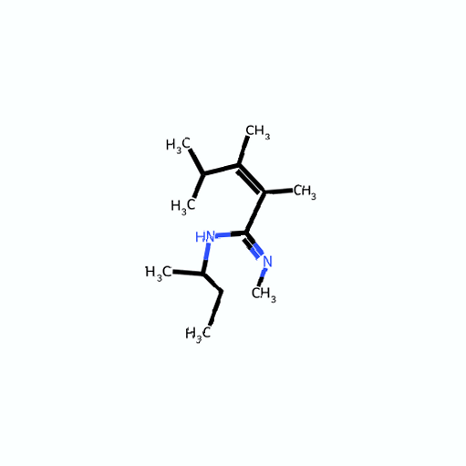 CCC(C)NC(=N\C)/C(C)=C(/C)C(C)C